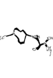 CN1CCC(NC(=O)N(C)C)CC1